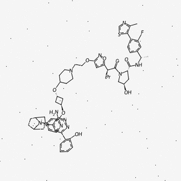 Cc1ncsc1-c1ccc([C@H](C)NC(=O)[C@@H]2C[C@@H](O)CN2C(=O)[C@H](c2cc(OCCN3CCC(O[C@H]4C[C@H](Oc5cc(N6C7CCC6CN(c6cc(-c8ccccc8O)nnc6N)C7)ccn5)C4)CC3)no2)C(C)C)cc1F